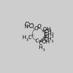 C/C1=C/CC(c2ccc3cccnc3c2)OC(=O)C[C@H](O)C(C)(C)C(=O)[C@H](C)[C@@H](O)[C@@H](C)CCC1